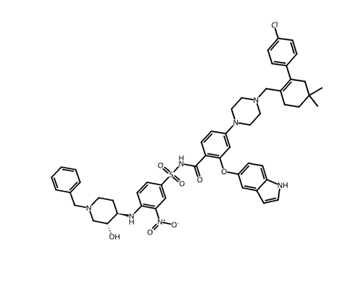 CC1(C)CCC(CN2CCN(c3ccc(C(=O)NS(=O)(=O)c4ccc(N[C@@H]5CCN(Cc6ccccc6)C[C@H]5O)c([N+](=O)[O-])c4)c(Oc4ccc5[nH]ccc5c4)c3)CC2)=C(c2ccc(Cl)cc2)C1